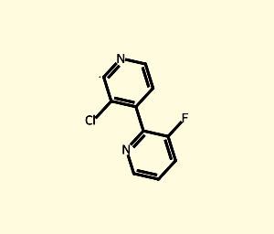 Fc1cccnc1-c1ccn[c]c1Cl